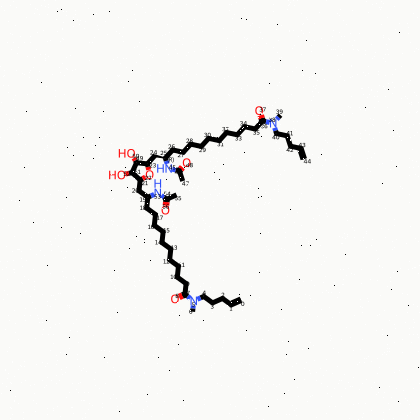 C=CCCCN(C)C(=O)CCCCCCCCCCC(CC1OC(C[C@@H](CCCCCCCCCCC(=O)N(C)CCCC=C)NC(C)=O)C(O)C1O)NC(C)=O